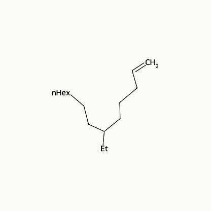 C=CCCCC(CC)CCCCCCCC